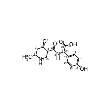 CC1CC(=O)C(C(=O)N[C@@H](C(=O)O)c2ccc(O)cc2)CN1